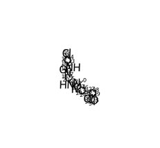 Cc1nc(NC2CCN(C(=O)Nc3ccc(Cl)cc3)CC2)nc2ccc(-c3cccc4c3OCCO4)cc12